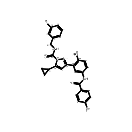 CCc1ccc(C(=O)Nc2ccc(O)c(-c3cc(C4CC4)n(C(=O)NCc4cccc(F)c4)n3)c2)cc1